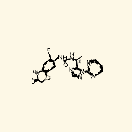 C[C@H](NC(=O)Nc1cc2c(cc1F)NC(=O)CO2)c1ncnn1-c1ncccn1